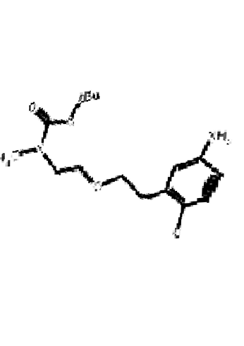 CN(CCOCCc1cc(N)ccc1Cl)C(=O)OC(C)(C)C